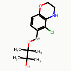 CC(C)(O)C(C)(C)OBc1ccc2c(c1Cl)NCCO2